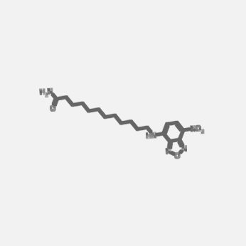 NC(=O)CCCCCCCCCCCNc1ccc([N+](=O)[O-])c2nonc12